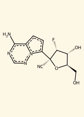 N#C[C@@]1(c2ccc3c(N)ncnn23)O[C@H](CO)[C@@H](O)[C@H]1F